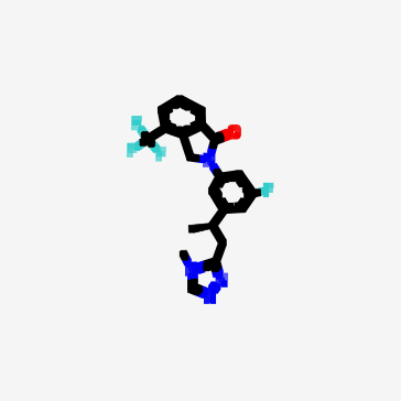 C[C@H](Cc1nncn1C)c1cc(F)cc(N2Cc3c(cccc3C(F)(F)F)C2=O)c1